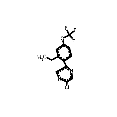 CCc1cc(OC(F)(F)F)ccc1-c1cnc(Cl)cn1